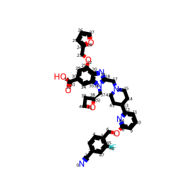 N#Cc1ccc(COc2cccc(C3CCN(Cc4nc5c(OCc6ccco6)cc(C(=O)O)cc5n4C[C@@H]4CCO4)CC3)n2)c(F)c1